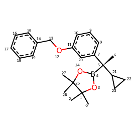 CC1(C)OB([C@](C)(c2cccc(OCc3ccccc3)c2)C2CC2)OC1(C)C